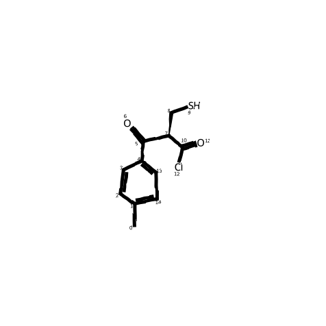 Cc1ccc(C(=O)[C@@H](CS)C(=O)Cl)cc1